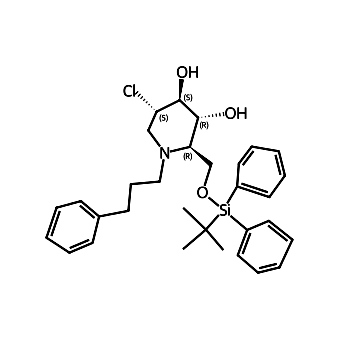 CC(C)(C)[Si](OC[C@@H]1[C@@H](O)[C@H](O)[C@@H](Cl)CN1CCCc1ccccc1)(c1ccccc1)c1ccccc1